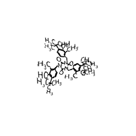 COc1c(C(C)(C)C)ccc(Cn2c(=O)n(Cc3ccc(C(C)(C)C)c(O)c3C)c(=O)n(Cc3ccc(C(C)(C)C)c(O)c3C)c2=O)c1C